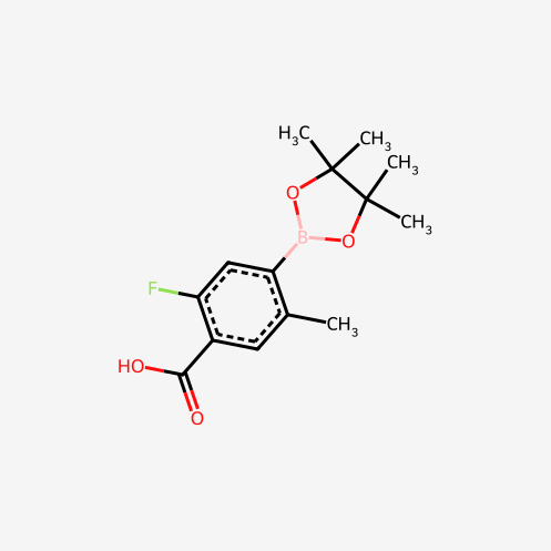 Cc1cc(C(=O)O)c(F)cc1B1OC(C)(C)C(C)(C)O1